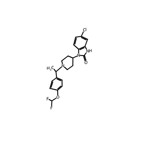 CC(c1ccc(OC(F)F)cc1)N1CCC(n2c(=O)[nH]c3cc(Cl)ccc32)CC1